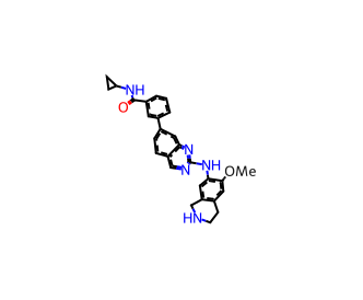 COc1cc2c(cc1Nc1ncc3ccc(-c4cccc(C(=O)NC5CC5)c4)cc3n1)CNCC2